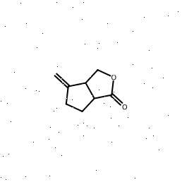 C=C1CCC2C(=O)OCC12